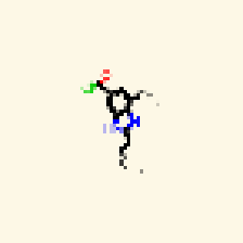 CCCc1nc2c(C)cc(C(=O)Cl)cc2[nH]1